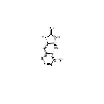 O=C1NC(=O)/C(=C\c2ncnc(Cl)n2)S1